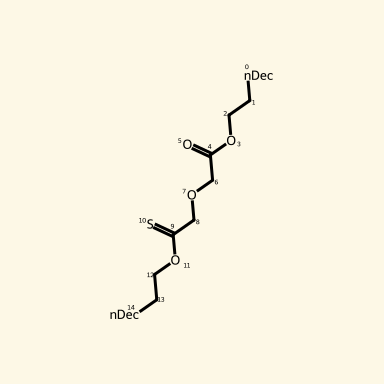 CCCCCCCCCCCCOC(=O)COCC(=S)OCCCCCCCCCCCC